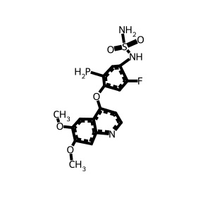 COc1cc2nccc(Oc3cc(F)c(NS(N)(=O)=O)cc3P)c2cc1OC